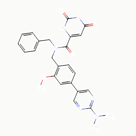 CN(C)c1ncc(-c2ccc(CN(Cc3ccccc3)C(=O)c3cc(=O)[nH]c(=O)[nH]3)c(OC(F)(F)F)c2)cn1